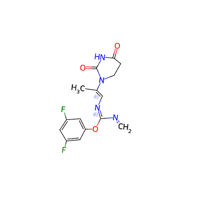 C=N/C(=N\C=C(/C)N1CCC(=O)NC1=O)Oc1cc(F)cc(F)c1